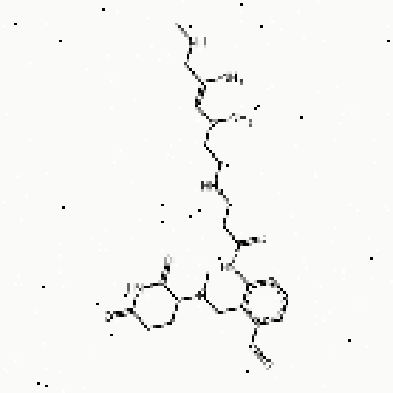 CNC/C(N)=C/N(N)CCNCCC(=O)Nc1cccc(C=O)c1CN(C)C1CCC(=O)NC1=O